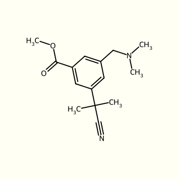 COC(=O)c1cc(CN(C)C)cc(C(C)(C)C#N)c1